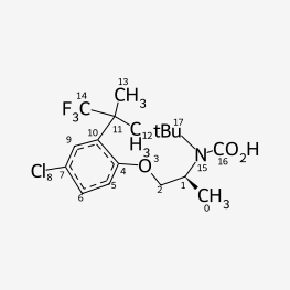 C[C@@H](COc1ccc(Cl)cc1C(C)(C)C(F)(F)F)N(C(=O)O)C(C)(C)C